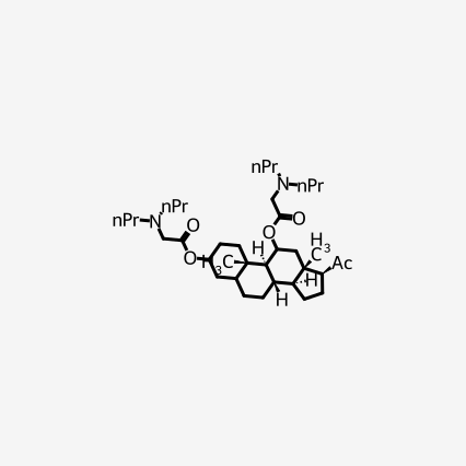 CCCN(CCC)CC(=O)OC1CC[C@@]2(C)C(CC[C@H]3[C@@H]4CC[C@H](C(C)=O)[C@@]4(C)CC(OC(=O)CN(CCC)CCC)[C@@H]32)C1